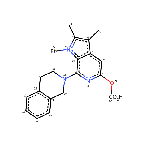 CCn1c(C)c(C)c2cc(OC(=O)O)nc(N3CCc4ccccc4C3)c21